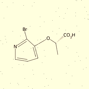 C[C@H](Oc1cccnc1Br)C(=O)O